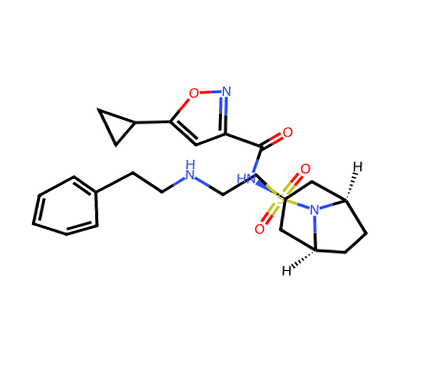 O=C(N[C@H]1C[C@H]2CC[C@@H](C1)N2S(=O)(=O)CCNCCc1ccccc1)c1cc(C2CC2)on1